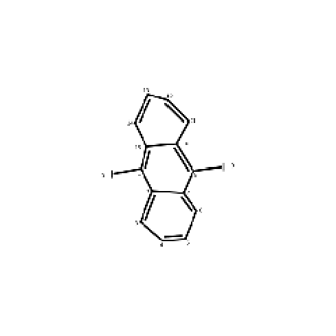 Ic1c2ccccc2c(I)c2ccccc12